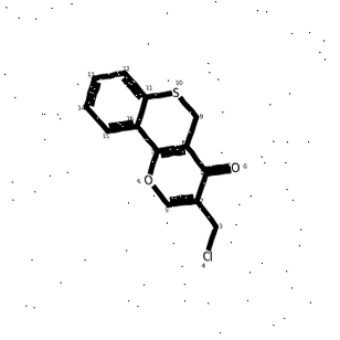 O=c1c(CCl)coc2c1CSc1ccccc1-2